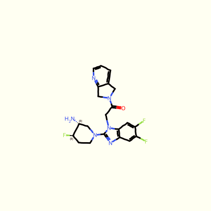 N[C@@H]1CN(c2nc3cc(F)c(F)cc3n2CC(=O)N2Cc3cccnc3C2)CC[C@H]1F